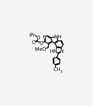 COCc1c(OC(=O)OC(C)C)ncc2[nH]c3ccc4nc(-c5ccc(C)cc5)[nH]c4c3c12